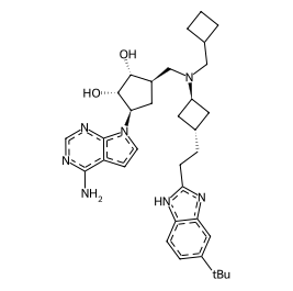 CC(C)(C)c1ccc2[nH]c(CC[C@H]3C[C@H](N(CC4CCC4)C[C@H]4C[C@@H](n5ccc6c(N)ncnc65)[C@H](O)[C@@H]4O)C3)nc2c1